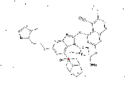 C#Cc1c(F)ccc2cc(OCOC)cc(Oc3nc4nc(OCCc5nccn5C)nc(N5CC6CCC(C5)N6C(=O)OC(C)(C)C)c4n3C3CCC3)c12